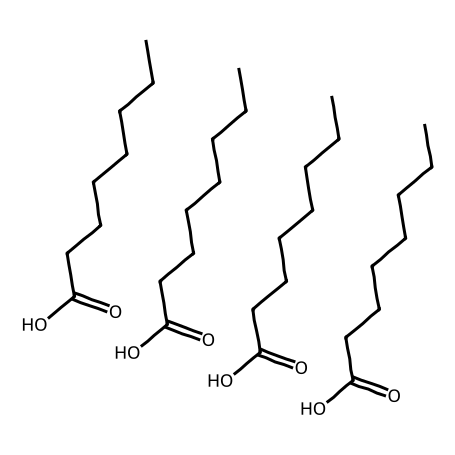 CCCCCCCC(=O)O.CCCCCCCC(=O)O.CCCCCCCC(=O)O.CCCCCCCC(=O)O